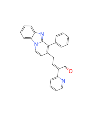 O=CC(=CCc1ccn2c(nc3ccccc32)c1-c1ccccc1)c1ccccn1